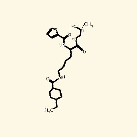 CCC1CCC(C(=O)NCCCCC(NC(=O)c2cccs2)C(=O)NC[C@@H](C)O)CC1